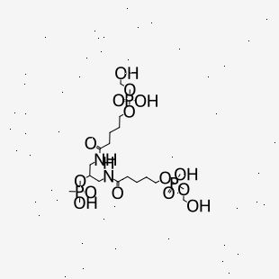 CP(=O)(O)OC(CNC(=O)CCCCOP(=O)(O)OCO)CNC(=O)CCCCOP(=O)(O)OCO